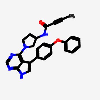 CC#CC(=O)NC1CCN(c2ncnc3[nH]cc(-c4ccc(Oc5ccccc5)cc4)c23)C1